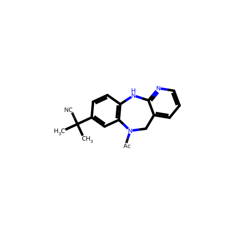 CC(=O)N1Cc2cccnc2Nc2ccc(C(C)(C)C#N)cc21